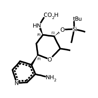 CC1O[C@@H](c2ccncc2N)C[C@@H](NC(=O)O)[C@@H]1O[Si](C)(C)C(C)(C)C